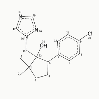 CC1(C)CCC(c2ccc(Cl)cc2)C1(O)Cn1cncn1